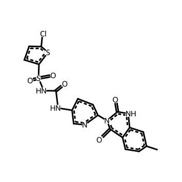 Cc1ccc2c(=O)n(-c3ccc(NC(=O)NS(=O)(=O)c4ccc(Cl)s4)cn3)c(=O)[nH]c2c1